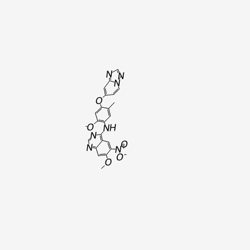 COc1cc(Oc2ccn3ncnc3c2)c(C)cc1Nc1ncnc2cc(OC)c([N+](=O)[O-])cc12